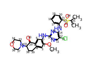 COc1cc2c(cc1Nc1ncc(Cl)c(Nc3ccccc3S(=O)(=O)C(C)C)n1)C(=O)C(N1CCOCC1)CC2